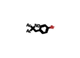 CC(=O)C(Cc1ccc(Br)cc1)(N=O)C(C)=O